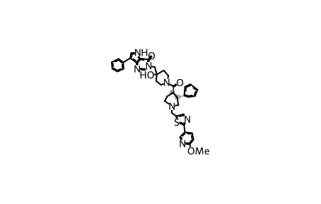 COc1ccc(-c2ncc(CN3CC[C@@H](C(=O)N4CCC(O)(Cn5cnc6c(-c7ccccc7)c[nH]c6c5=O)CC4)[C@H](c4ccccc4)C3)s2)cn1